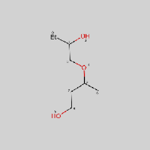 CCC(O)COC(C)CCO